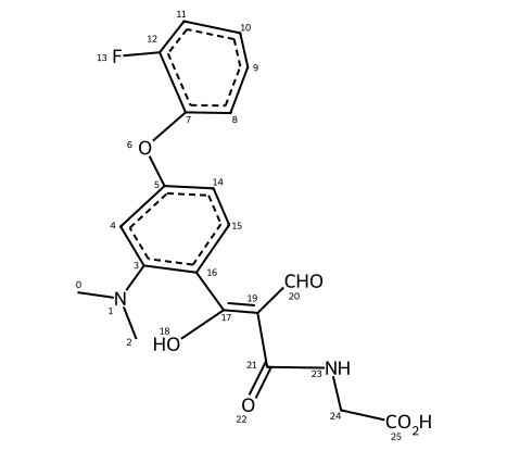 CN(C)c1cc(Oc2ccccc2F)ccc1/C(O)=C(\C=O)C(=O)NCC(=O)O